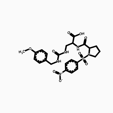 COc1ccc(CNC(=O)NCC(NC(=O)C2CCCN2S(=O)(=O)c2ccc([N+](=O)[O-])cc2)C(=O)O)cc1